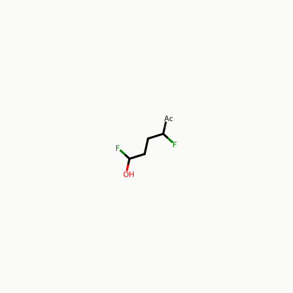 CC(=O)C(F)CCC(O)F